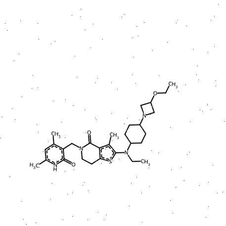 CCOC1CN(C2CCC(N(CC)c3sc4c(c3C)C(=O)N(Cc3c(C)cc(C)[nH]c3=O)CC4)CC2)C1